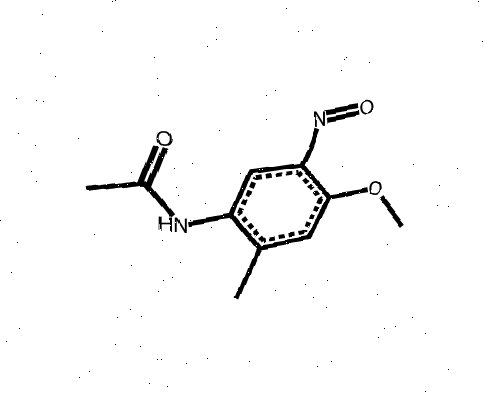 COc1cc(C)c(NC(C)=O)cc1N=O